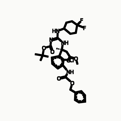 COC(=O)C[C@](C)(N/C(=N\C(=O)OC(C)(C)C)NC1CCC(F)(F)CC1)c1cccc(NC(=O)OCc2ccccc2)c1Cl